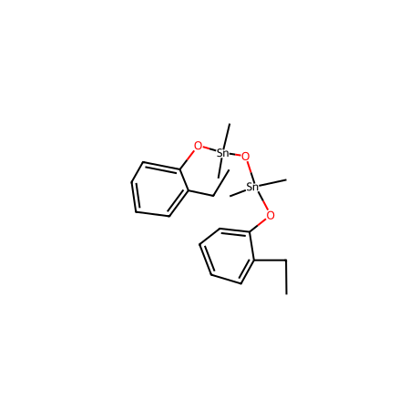 CCc1ccccc1[O][Sn]([CH3])([CH3])[O][Sn]([CH3])([CH3])[O]c1ccccc1CC